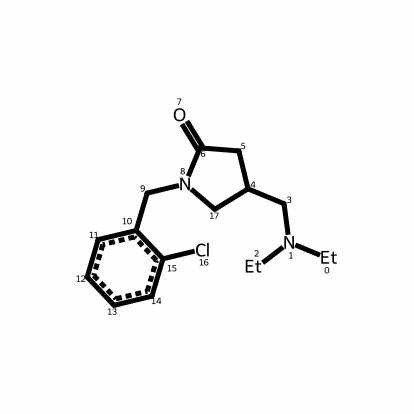 CCN(CC)CC1CC(=O)N(Cc2ccccc2Cl)C1